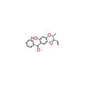 C=CC(=O)C(C)Oc1ccc(C(=O)c2ccccc2)c(O)c1